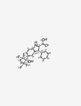 O=C(O)c1[nH]c2ccc(C(O)(C(F)(F)F)C(F)(F)F)cc2c1-c1ccccc1